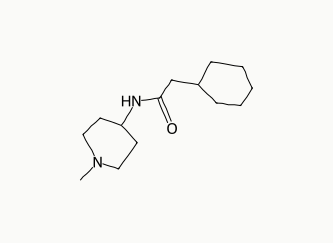 CN1CCC(NC(=O)CC2CCCCC2)CC1